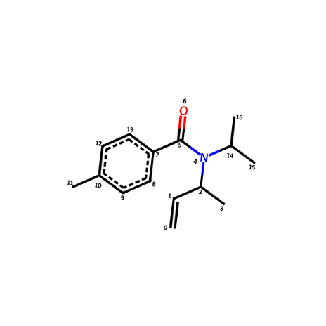 C=CC(C)N(C(=O)c1ccc(C)cc1)C(C)C